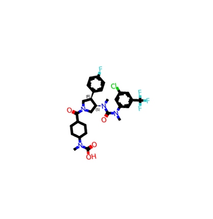 CN(C(=O)N(C)[C@@H]1CN(C(=O)C2CCC(N(C)C(=O)O)CC2)C[C@H]1c1ccc(F)cc1)c1cc(Cl)cc(C(F)(F)F)c1